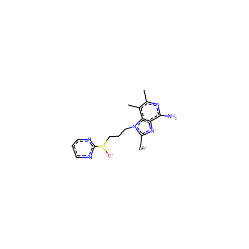 CCCc1nc2c(N)nc(C)c(C)c2n1CCC[S+]([O-])c1ncccn1